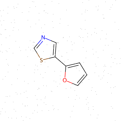 [c]1ncsc1-c1ccco1